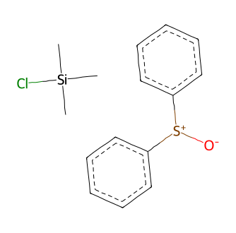 C[Si](C)(C)Cl.[O-][S+](c1ccccc1)c1ccccc1